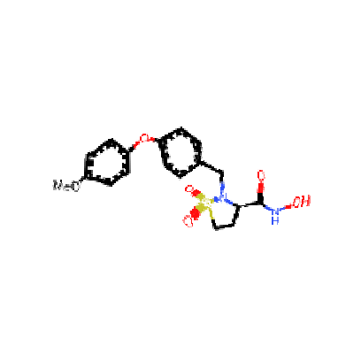 COc1ccc(Oc2ccc(CN3[C@@H](C(=O)NO)CCS3(=O)=O)cc2)cc1